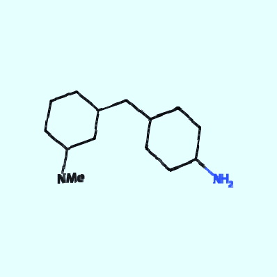 CNC1CCCC(CC2CCC(N)CC2)C1